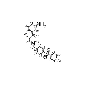 Cc1ccc(S(=O)(=O)c2ccc(CN3CCC(c4cc(N)ccc4C)CC3)cc2)cc1